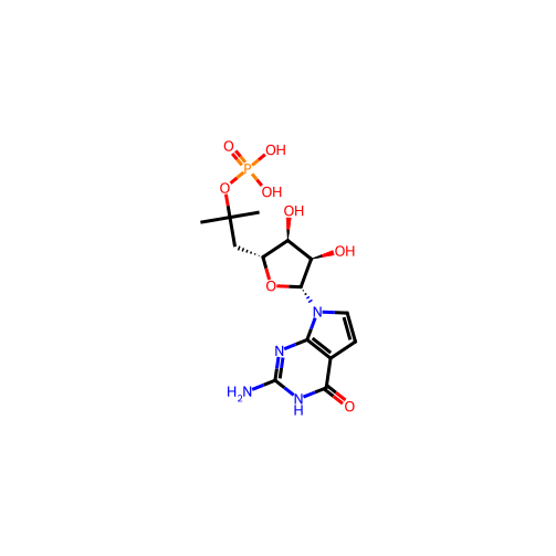 CC(C)(C[C@H]1O[C@@H](n2ccc3c(=O)[nH]c(N)nc32)[C@H](O)[C@@H]1O)OP(=O)(O)O